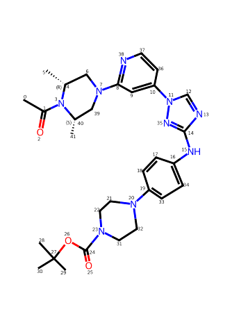 CC(=O)N1[C@H](C)CN(c2cc(-n3cnc(Nc4ccc(N5CCN(C(=O)OC(C)(C)C)CC5)cc4)n3)ccn2)C[C@@H]1C